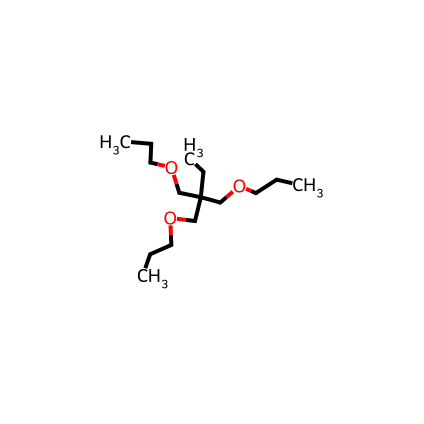 CCCOCC(CC)(COCCC)COCCC